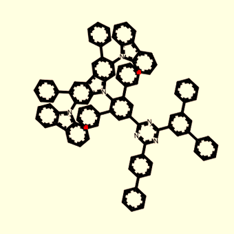 c1ccc(-c2ccc(-c3nc(-c4cc(-c5ccccc5)cc(-c5ccccc5)c4)nc(-c4cc(-c5ccccc5)c(-n5c6cc(-n7c8ccccc8c8ccccc87)c(-c7ccccc7)cc6c6cc(-c7ccccc7)c(-n7c8ccccc8c8ccccc87)cc65)c(-c5ccccc5)c4)n3)cc2)cc1